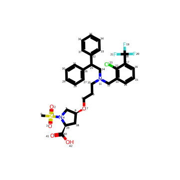 CS(=O)(=O)N1C[C@@H](OCCCN(Cc2cccc(C(F)(F)F)c2Cl)CC(c2ccccc2)c2ccccc2)C[C@H]1C(=O)O